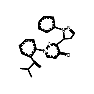 C=C(c1ccccc1-n1ccc(=O)c(C2CC=NN2c2ccccc2)n1)C(C)C